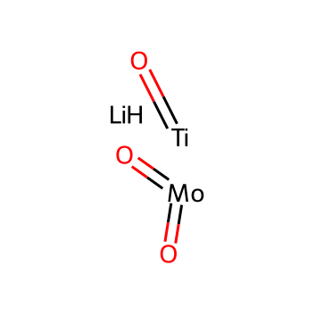 [LiH].[O]=[Mo]=[O].[O]=[Ti]